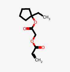 C=CC(=O)OCC(=O)OC1(CC)CCCC1